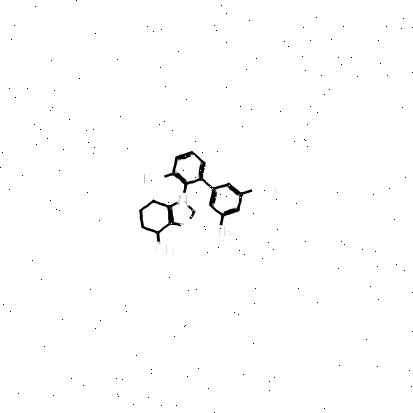 Cc1cccc(-c2cc(C(C)(C)C)cc(C(C)(C)C)c2)c1N1CSC2=C1CCCC2C